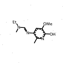 CCN(C)/C=N/c1cc(OC)c(O)nc1C